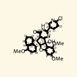 COc1ccc([C@@]23Oc4cc(OC)cc(OC)c4[C@]2(O)c2nc(-c4ccc(Cl)nc4)[nH]c(=O)c2[C@H]3c2ccccc2)cc1